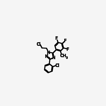 Cc1c(-c2nc(-c3ccccc3Cl)nn2CCCl)cc(F)c(F)c1F